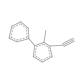 C#Cc1cccc(-c2ccccc2)c1C